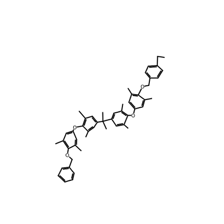 CCc1ccc(COc2c(C)cc(Oc3c(C)cc(C(C)(C)c4cc(C)c(Oc5cc(C)c(OCc6ccccc6)c(C)c5)c(C)c4)cc3C)cc2C)cc1